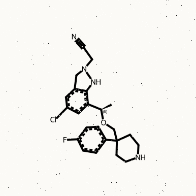 C[C@@H](OCC1(c2ccc(F)cc2)CCNCC1)c1cc(Cl)cc2c1NN(CC#N)C2